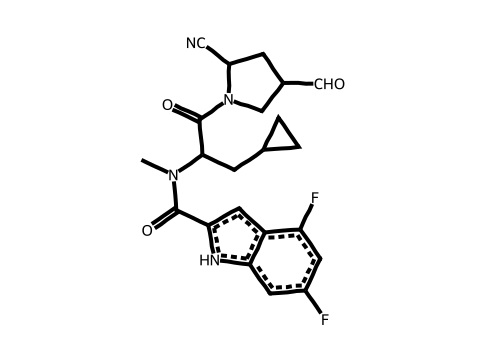 CN(C(=O)c1cc2c(F)cc(F)cc2[nH]1)C(CC1CC1)C(=O)N1CC(C=O)CC1C#N